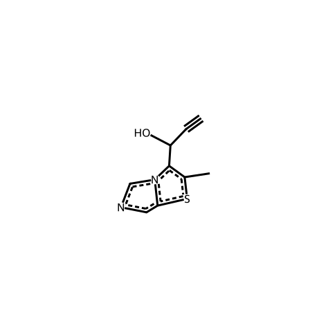 C#CC(O)c1c(C)sc2cncn12